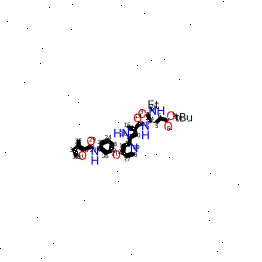 CCNC(=O)[C@H](CCC(=O)OC(C)(C)C)NC(=O)c1c[nH]c(-c2cc(Oc3cccc(NC(=O)c4occc4C)c3)ccn2)c1